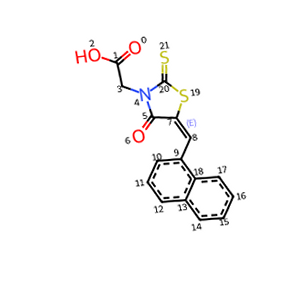 O=C(O)CN1C(=O)/C(=C\c2cccc3ccccc23)SC1=S